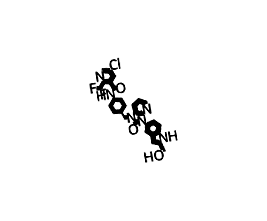 O=C(N[C@H]1CC[C@H](Cn2c(=O)n(-c3ccc4[nH]c(CO)cc4c3)c3ncccc32)CC1)c1cc(Cl)cnc1C(F)F